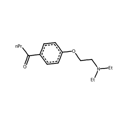 CCCC(=O)c1ccc(OCCN(CC)CC)cc1